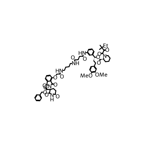 CCC(C)(C)C(=O)C(=O)N1CCCC[C@H]1C(=O)O[C@H](CCc1ccc(OC)c(OC)c1)c1cccc(NC(=O)CCC(=O)NCCCCNC(=O)COc2cccc3c2C(=O)N([C@]2(C(=O)OCc4ccccc4)CCC(=O)NC2=O)C3=O)c1